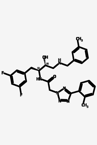 Cc1cccc(CNC[C@@H](O)[C@H](Cc2cc(F)cc(F)c2)NC(=O)Cn2nnc(-c3ccccc3C)n2)c1